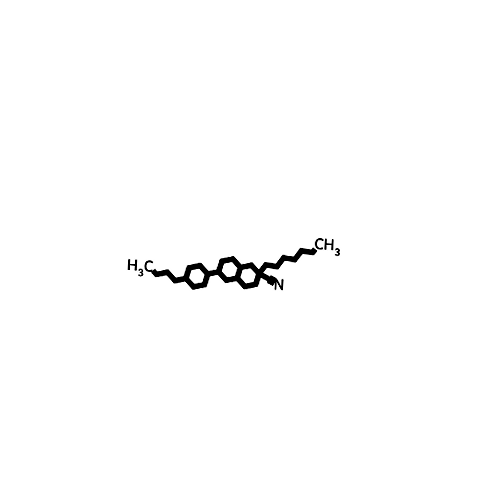 CCCCCCCC1(C#N)CCC2CC(C3CCC(CCCC)CC3)CCC2C1